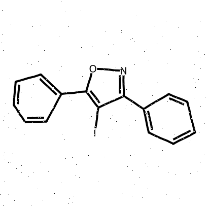 Ic1c(-c2ccccc2)noc1-c1ccccc1